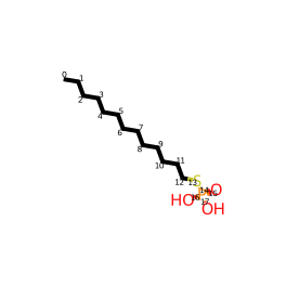 CCCCCCCCCCCCCSP(=O)(O)O